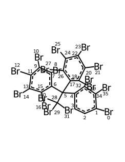 Brc1ccc(C(c2c(Br)c(Br)c(Br)c(Br)c2Br)(c2c(Br)c(Br)c(Br)c(Br)c2Br)C(Br)(Br)Br)c(Br)c1Br